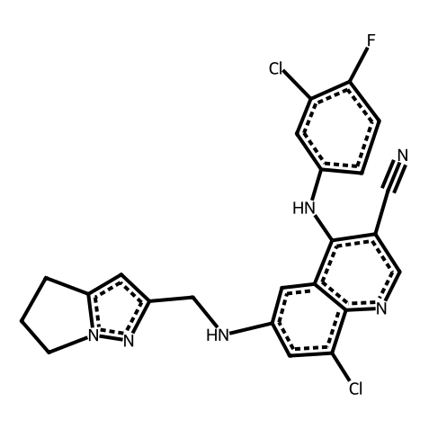 N#Cc1cnc2c(Cl)cc(NCc3cc4n(n3)CCC4)cc2c1Nc1ccc(F)c(Cl)c1